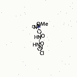 CO/N=C(/c1ccc(C(=O)NCCC(=O)Nc2ccc(Cl)cn2)cc1)N1CCCC1